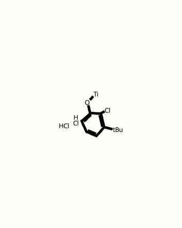 CC(C)(C)c1cccc([O][Ti])c1Cl.Cl.Cl